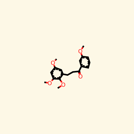 COc1cccc(C(=O)CCc2cc(OC)cc(OC)c2OC)c1